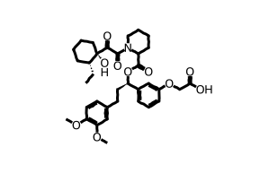 CC[C@@H]1CCCC[C@@]1(O)C(=O)C(=O)N1CCCCC1C(=O)O[C@H](CCc1ccc(OC)c(OC)c1)c1cccc(OCC(=O)O)c1